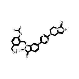 Cn1c(=O)c2ccc(-c3cnc(N4CCn5c(c[nH]c5=O)C4)nc3)cc2n1Cc1cc(CO)ccc1OC(F)F